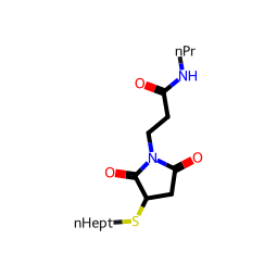 CCCCCCCSC1CC(=O)N(CCC(=O)NCCC)C1=O